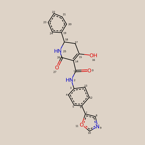 O=C(Nc1ccc(-c2cnco2)cc1)C1=C(O)CC(c2ccccc2)NC1=O